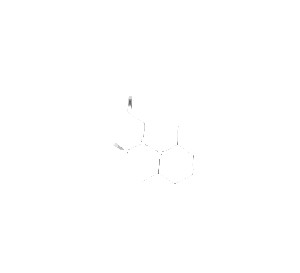 CC1CCCC(C)N1N(C[C]=O)N=O